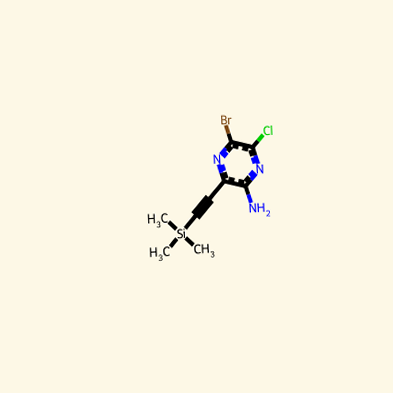 C[Si](C)(C)C#Cc1nc(Br)c(Cl)nc1N